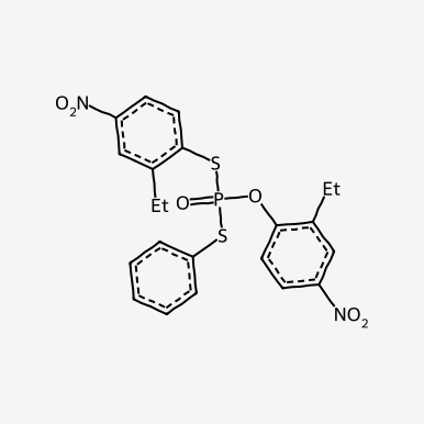 CCc1cc([N+](=O)[O-])ccc1OP(=O)(Sc1ccccc1)Sc1ccc([N+](=O)[O-])cc1CC